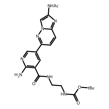 CC(=O)Nc1cn2nc(-c3cnc(N)c(C(=O)NCCNC(=O)OC(C)(C)C)c3)ccc2n1